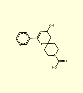 O=C(O)N1CCC2(CC1)CC(O)C=C(c1cccnc1)O2